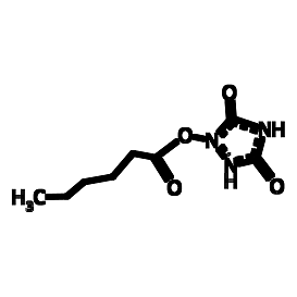 CCCCCC(=O)On1[nH]c(=O)[nH]c1=O